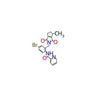 CC1CCC2=C1C(=O)N(Cc1cc(Br)ccc1NC(=O)c1ccccn1)C2=O